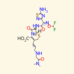 CN(C)C(=O)CNC/C=C/C1=C(C(=O)O)N2C(=O)[C@@H](NC(=O)/C(=N\OC(F)F)c3nsc(N)n3)[C@@H]2SC1